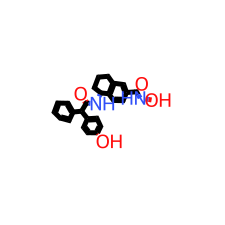 O=C(NO)c1ccc2c(c1)CCCC2NC(=O)C(c1ccccc1)c1ccc(O)cc1